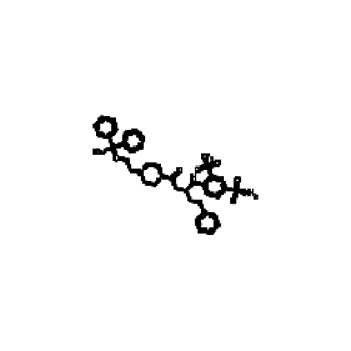 CC(C)(C)[Si](OCCN1CCN(C(=O)CC(CSc2ccccc2)Nc2ccc(S(N)(=O)=O)cc2S(=O)(=O)C(F)(F)F)CC1)(c1ccccc1)c1ccccc1